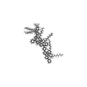 CCCCCCCCc1ccc(C2(c3ccc(CCCCCCCC)cc3)c3cc(-c4ccccc4)ccc3-c3ccc(-c4ccc(N(c5ccccc5)c5ccc6c(c5)C(c5ccc(CCCCCCCC)cc5)(c5ccc(CCCCCCCC)cc5)c5cc(N(c7ccccc7)c7ccc(-c8ccc9c(c8)C(CCCCCCCC)(CCCCCCCC)c8cc(C(C)CC)ccc8-9)cc7)ccc5-6)cc4)cc32)cc1